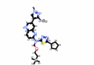 CCCCc1nn(C)cc1-c1cnc2ccc(N(COCC[Si](C)(C)C)c3nnc(C4CCCC4)s3)nc2c1